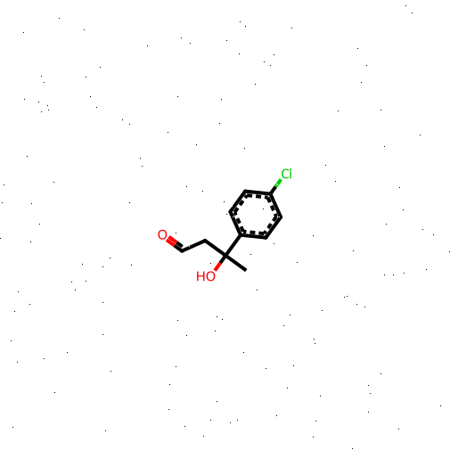 CC(O)(CC=O)c1ccc(Cl)cc1